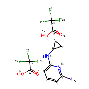 Ic1cccc(NC2CC2)n1.O=C(O)C(F)(F)F.O=C(O)C(F)(F)F